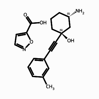 Cc1cccc(C#C[C@]2(O)CCC[C@H](N)C2)c1.O=C(O)c1ccno1